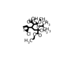 CCOC(=O)C1(C)CC(c2ccsc2Cl)C(C(=O)O)C(C)(OC)N1C(C)C